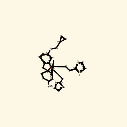 COC1CCC2(CC1)Cc1ccc(OCC3CC3)cc1C21N=C(CCc2nccs2)N(Cc2nccs2)C1=O